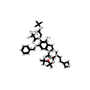 CC(C)(C)OC(=O)CN(C(=O)C(F)(F)F)c1c(OCc2ccccc2)cc2c(c1F)C[C@H](CN(CCC1COC1)C(=O)OC(C)(C)C)N2C(=O)OC(C)(C)C